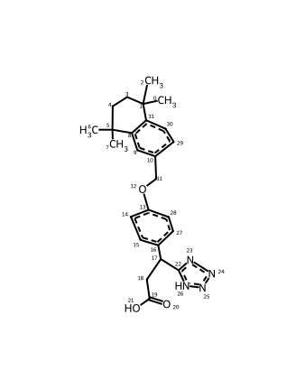 CC1(C)CCC(C)(C)c2cc(COc3ccc(C(CC(=O)O)c4nnn[nH]4)cc3)ccc21